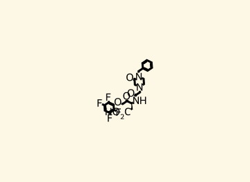 O=C(O)C[C@H](NC(=O)CN1CCN(Cc2ccccc2)C(=O)C1)C(=O)COc1c(F)c(F)cc(F)c1F